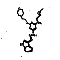 COCCN(C)c1cc(N/N=C/c2c[nH]c3ccccc23)nc(OCCN2CCOCC2)n1